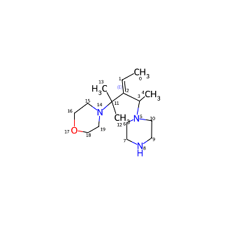 C/C=C(\C(C)N1CCNCC1)C(C)(C)N1CCOCC1